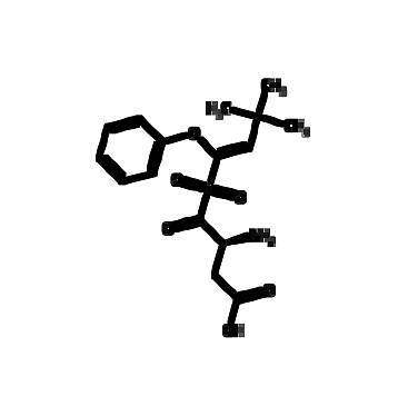 CC(C)(C)C=C(Oc1ccccc1)S(=O)(=O)C(=O)[C@@H](N)CC(=O)O